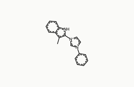 Cc1c(-[n+]2ccn(-c3ccccc3)c2)[nH]c2ccccc12